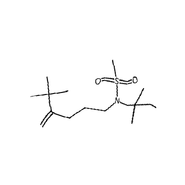 C=C(CCCN(C(C)(C)C)S(C)(=O)=O)C(C)(C)C